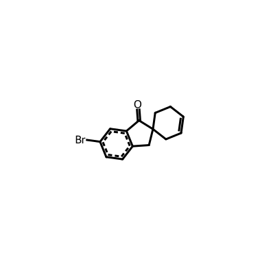 O=C1c2cc(Br)ccc2CC12CC=CCC2